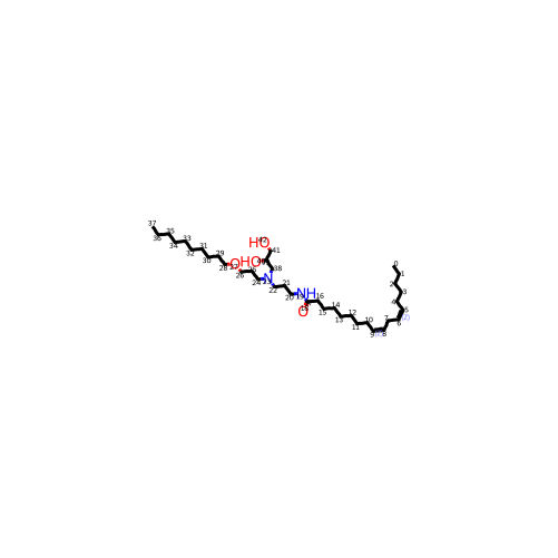 CCCCC/C=C\C/C=C\CCCCCCCC(=O)NCCCN(CCCOCCCCCCCCCC)CC(O)CO